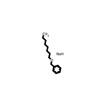 CCCCCCCCOCc1ccccc1.[NaH]